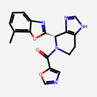 Cc1cccc2nc([C@@H]3c4nc[nH]c4CCN3C(=O)c3cnco3)oc12